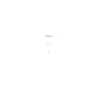 [Mo].[OH][V].[Sb]